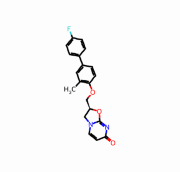 Cc1cc(-c2ccc(F)cc2)ccc1OC[C@@H]1Cn2ccc(=O)nc2O1